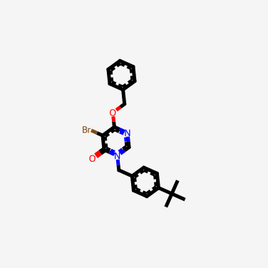 CC(C)(C)c1ccc(Cn2cnc(OCc3ccccc3)c(Br)c2=O)cc1